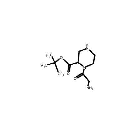 CC(C)(C)OC(=O)C1CNCCN1C(=O)CN